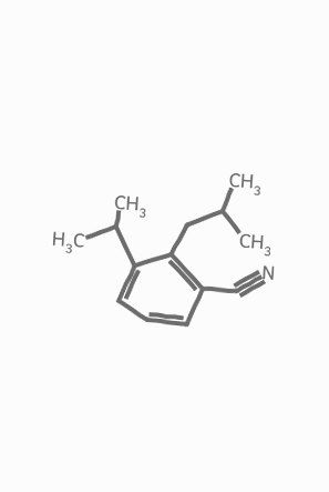 CC(C)Cc1c(C#N)cccc1C(C)C